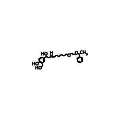 C[C@@H](OCCOCCCCCCNC[C@H](O)c1ccc(O)c(CO)c1)c1ccccc1